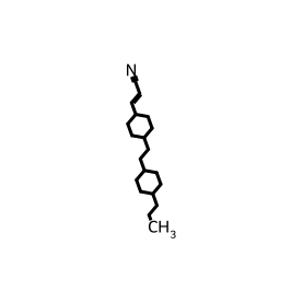 CCCC1CCC(CCC2CCC(C=CC#N)CC2)CC1